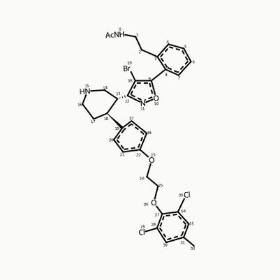 CC(=O)NCCc1ccccc1-c1onc([C@H]2CNCC[C@@H]2c2ccc(OCCOc3c(Cl)cc(C)cc3Cl)cc2)c1Br